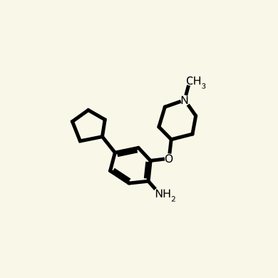 CN1CCC(Oc2cc(C3CCCC3)ccc2N)CC1